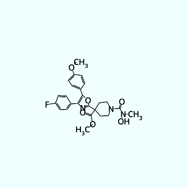 COC(=O)C1(c2nc(-c3ccc(F)cc3)c(-c3ccc(OC)cc3)o2)CCN(C(=O)N(C)O)CC1